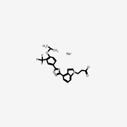 CC(C)Oc1ccc(-c2nc(-c3cccc4c3ccn4CCC(=O)[O-])no2)cc1C(F)(F)F.[Na+]